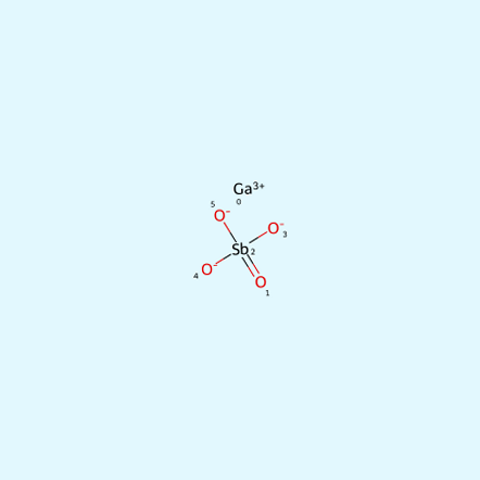 [Ga+3].[O]=[Sb]([O-])([O-])[O-]